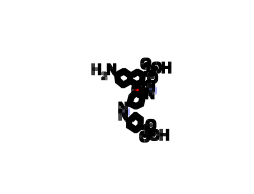 Nc1ccc2c(O)c(/N=N\c3ccc(/N=N\c4ccc(S(=O)(=O)O)cc4)cc3)c(S(=O)(=O)O)cc2c1